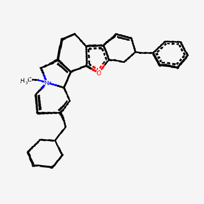 C[N+]12C=CC(CC3CCCCC3)=CC1C1=C(CCc3c1oc1c3C=CC(c3ccccc3)C1)C2